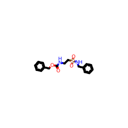 O=C(NCCS(=O)(=O)NCc1ccccc1)OCc1ccccc1